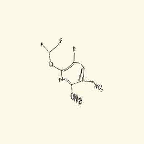 COc1nc(OC(F)F)c(F)cc1[N+](=O)[O-]